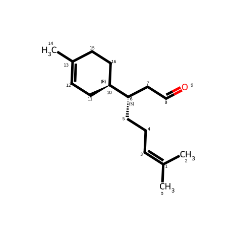 CC(C)=CCC[C@@H](CC=O)[C@H]1CC=C(C)CC1